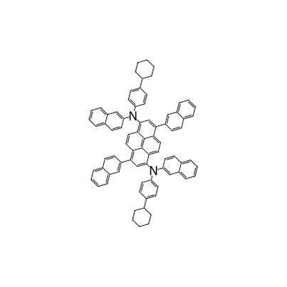 c1ccc2cc(-c3cc(N(c4ccc(C5CCCCC5)cc4)c4ccc5ccccc5c4)c4ccc5c(-c6ccc7ccccc7c6)cc(N(c6ccc(C7CCCCC7)cc6)c6ccc7ccccc7c6)c6ccc3c4c56)ccc2c1